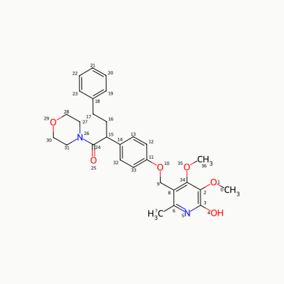 COc1c(O)nc(C)c(COc2ccc(C(CCc3ccccc3)C(=O)N3CCOCC3)cc2)c1OC